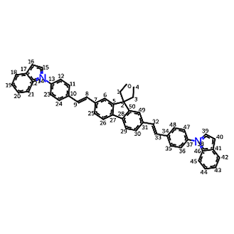 CCC1(CC)c2cc(/C=C/c3ccc(-n4ccc5ccccc54)cc3)ccc2-c2ccc(/C=C/c3ccc(-n4ccc5ccccc54)cc3)cc21